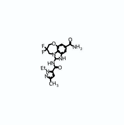 CCn1nc(C)cc1C(=O)NC1Nc2cc(C(N)=O)cc3c2N1CC(F)(F)CO3